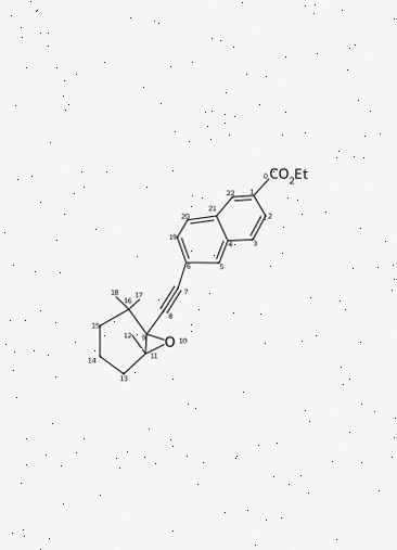 CCOC(=O)c1ccc2cc(C#CC34OC3(C)CCCC4(C)C)ccc2c1